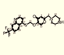 O=c1cc(CN2CCNCC2)occ1OCSc1ccnc2cc(C(F)(F)F)ccc12